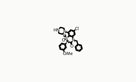 COc1cccc(N2C(=O)N(Cc3ccccc3)c3cc(Cl)cc(N4CCNCC4)c3S2(=O)=O)c1